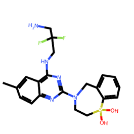 Cc1ccc2nc(N3CCS(O)(O)c4ccccc4C3)nc(NCC(F)(F)CN)c2c1